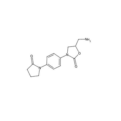 NCC1CN(c2ccc(N3CCCC3=O)cc2)C(=O)O1